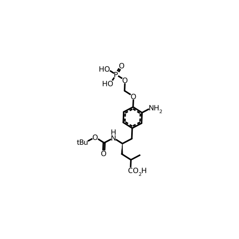 CC(C[C@H](Cc1ccc(OCOP(=O)(O)O)c(N)c1)NC(=O)OC(C)(C)C)C(=O)O